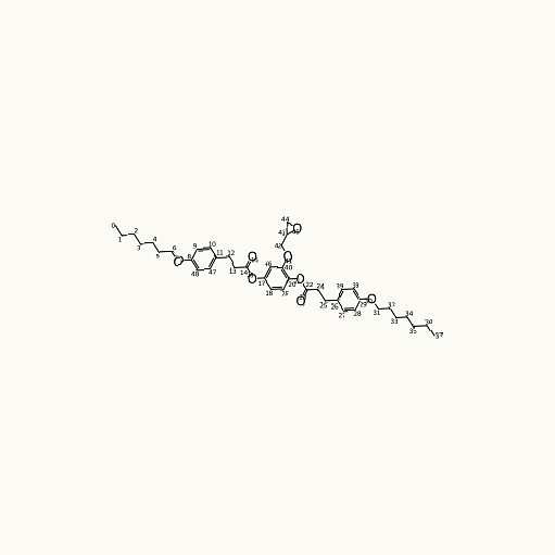 CCCCCCCOc1ccc(CCC(=O)Oc2ccc(OC(=O)CCc3ccc(OCCCCCCC)cc3)c(OCC3CO3)c2)cc1